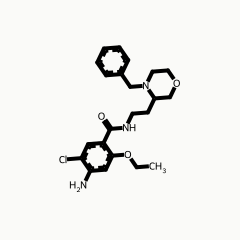 CCOc1cc(N)c(Cl)cc1C(=O)NCCC1COCCN1Cc1ccccc1